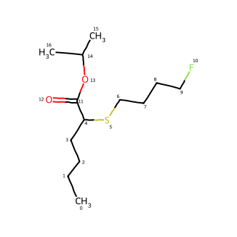 CCCCC(SCCCCF)C(=O)OC(C)C